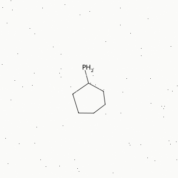 P[C]1CCCCC1